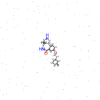 O=C1NC[C@@H]2CNCC2c2ccc(OCCc3cccc(F)c3)cc21